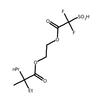 CCCC(C)(CC)C(=O)OCCOC(=O)C(F)(F)S(=O)(=O)O